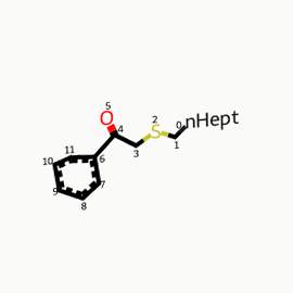 CCCCCCCCSCC(=O)c1ccccc1